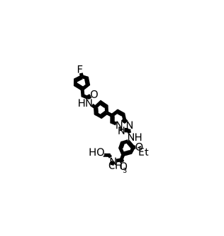 CCOc1cc(C(=O)N(C)CCO)ccc1Nc1nc2ccc(-c3ccc(NC(=O)Cc4ccc(F)cc4)cc3)cn2n1